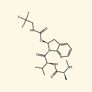 CN[C@@H](C)C(=O)N[C@H](C(=O)N1c2ncccc2C[C@@H]1OC(=O)NCC(F)(F)F)C(C)C